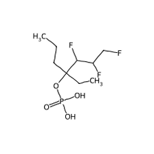 CCCC(CC)(OP(=O)(O)O)C(F)C(F)CF